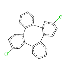 Clc1ccc2c(c1)-c1ccccc1-c1ccc(Cl)cc1-c1ccccc1-2